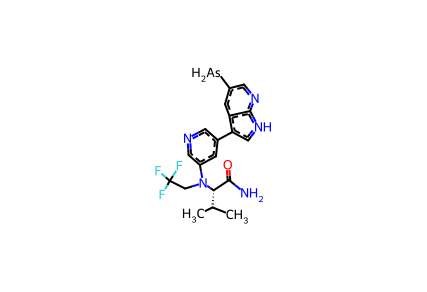 CC(C)[C@@H](C(N)=O)N(CC(F)(F)F)c1cncc(-c2c[nH]c3ncc([AsH2])cc23)c1